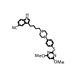 COc1cc(OC)nc(Sc2ccc(N3CCN(CCCCc4c[nH]c5ccc(C#N)cc45)CC3)cc2)n1